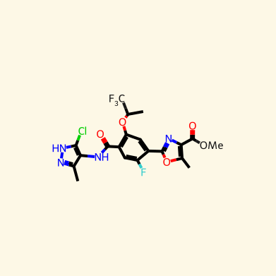 COC(=O)c1nc(-c2cc(OC(C)C(F)(F)F)c(C(=O)Nc3c(C)n[nH]c3Cl)cc2F)oc1C